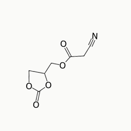 N#CCC(=O)OCC1COC(=O)O1